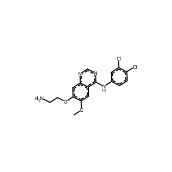 COc1cc2c(Nc3ccc(Cl)c(Cl)c3)ncnc2cc1OCCN